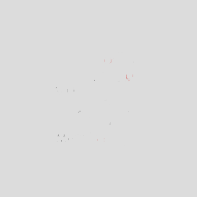 COC(=O)c1cc(OC(C)=O)c2cc3c(cc2c1-c1ccccc1)OCCO3